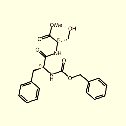 COC(=O)[C@H](CO)NC(=O)[C@H](Cc1ccccc1)NC(=O)OCc1ccccc1